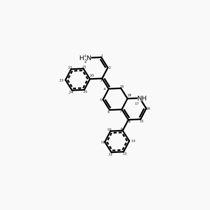 N/C=C\C(=C1\C=CC2=C(c3ccccc3)C=CNC2C1)c1ccccc1